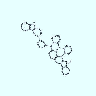 c1cc(-c2ccc3oc4ccccc4c3c2)cc(-c2c3ccccc3c(-c3ccccc3-c3cccc4c3[nH]c3ccccc34)c3ccccc23)c1